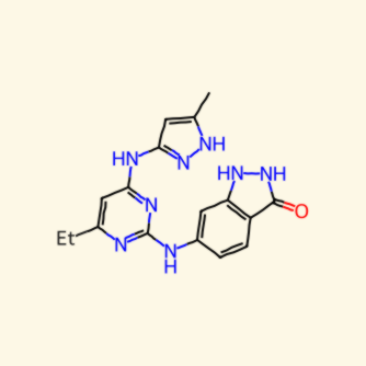 CCc1cc(Nc2cc(C)[nH]n2)nc(Nc2ccc3c(=O)[nH][nH]c3c2)n1